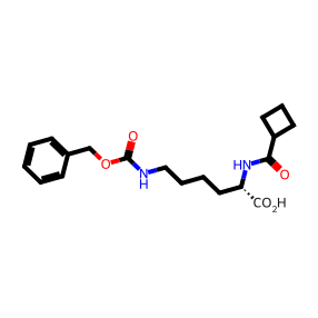 O=C(NCCCC[C@H](NC(=O)C1CCC1)C(=O)O)OCc1ccccc1